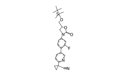 CC(C)(C)[Si](C)(C)OCC1CN(c2ccc(-c3ccc(C4(C#N)CC4)nc3)c(F)c2)C(=O)O1